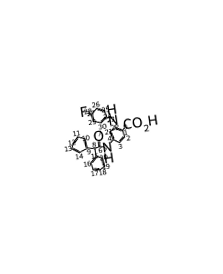 O=C(O)c1ccc(NC(=O)C(c2ccccc2)c2ccccc2)cc1Nc1ccc(F)cc1